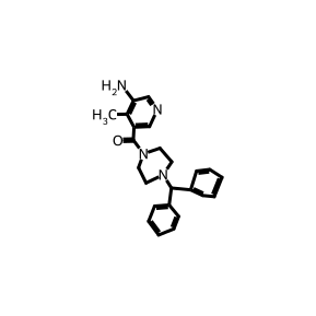 Cc1c(N)cncc1C(=O)N1CCN(C(c2ccccc2)c2ccccc2)CC1